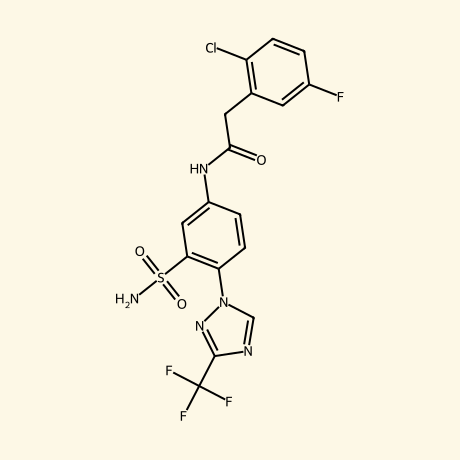 NS(=O)(=O)c1cc(NC(=O)Cc2cc(F)ccc2Cl)ccc1-n1cnc(C(F)(F)F)n1